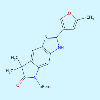 CCCCCN1C(=O)C(C)(C)c2cc3nc(-c4coc(C)c4)[nH]c3cc21